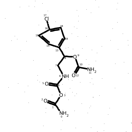 NC(=O)OC(=O)NCC(OC(N)=O)c1ccc(Cl)cc1